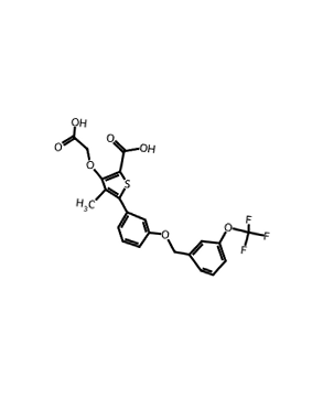 Cc1c(-c2cccc(OCc3cccc(OC(F)(F)F)c3)c2)sc(C(=O)O)c1OCC(=O)O